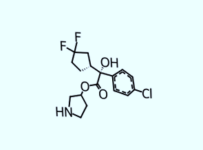 O=C(OC1CCNC1)[C@](O)(c1ccc(Cl)cc1)[C@@H]1CCC(F)(F)C1